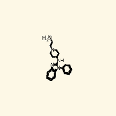 NCCN1CCC(Nc2nc3ccccc3n2-c2ccccc2)CC1